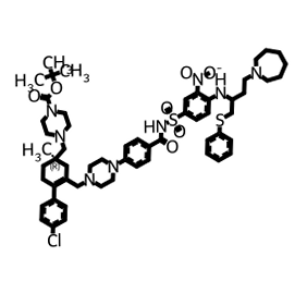 CC(C)(C)OC(=O)N1CCN(C[C@]2(C)CCC(c3ccc(Cl)cc3)=C(CN3CCN(c4ccc(C(=O)NS(=O)(=O)c5ccc(NC(CCN6CCCCCC6)CSc6ccccc6)c([N+](=O)[O-])c5)cc4)CC3)C2)CC1